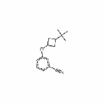 CC(C)(C)C1CC(Oc2cccc(C#N)c2)C1